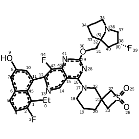 CCc1c(F)ccc2cc(O)cc(-c3ncc4c(N5CCCC6(C5)CS(=O)(=O)C6)nc(OC[C@@]56CCCN5C[C@H](F)C6)nc4c3F)c12